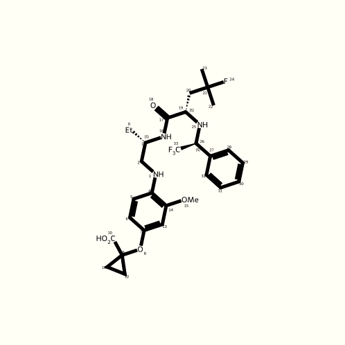 CC[C@@H](CNc1ccc(OC2(C(=O)O)CC2)cc1OC)NC(=O)[C@H](CC(C)(C)F)N[C@@H](c1ccccc1)C(F)(F)F